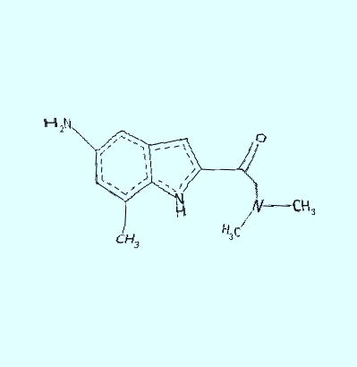 Cc1cc(N)cc2cc(C(=O)N(C)C)[nH]c12